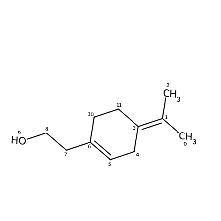 CC(C)=C1CC=C(CCO)CC1